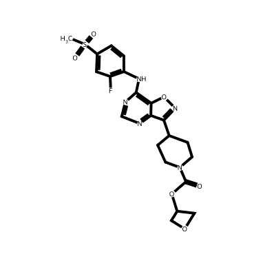 CS(=O)(=O)c1ccc(Nc2ncnc3c(C4CCN(C(=O)OC5COC5)CC4)noc23)c(F)c1